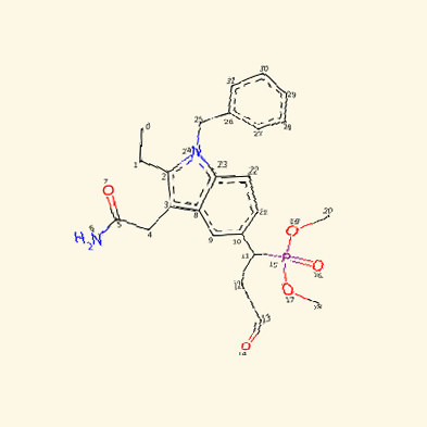 CCc1c(CC(N)=O)c2cc(C(CC=O)P(=O)(OC)OC)ccc2n1Cc1ccccc1